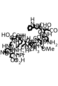 COCOC(C)C(NC(=O)C(CC(N)=O)NC(=O)C(CCC(=O)O)NC(=O)C(Cc1c[nH]c2ccccc12)NC=O)C(=O)N(C)CC(=O)NC(C)C(=O)NC(CC(=O)O)C(=O)NC(CCCCN)C(=O)NC(C(=O)NCC(=O)NC(CC(N)=O)C(=O)NC(CCC(=O)O)C(=O)NCC(C)C)C(O)C(=O)O